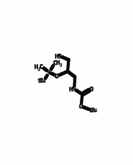 CC(C)(C)OC(=O)NCC(CS)O[Si](C)(C)C(C)(C)C